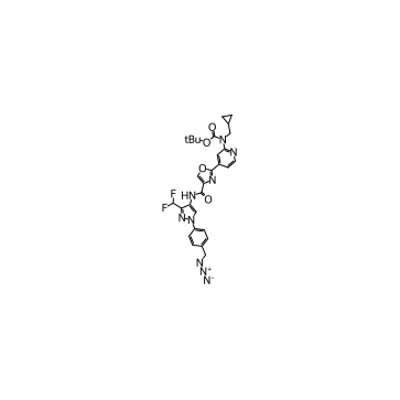 CC(C)(C)OC(=O)N(CC1CC1)c1cc(-c2nc(C(=O)Nc3cn(-c4ccc(CN=[N+]=[N-])cc4)nc3C(F)F)co2)ccn1